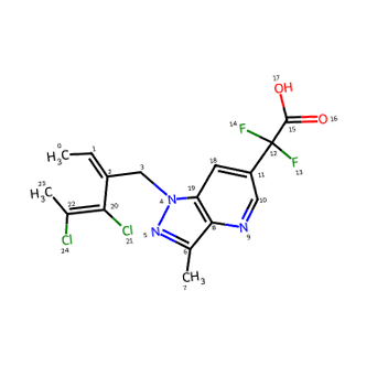 C/C=C(Cn1nc(C)c2ncc(C(F)(F)C(=O)O)cc21)\C(Cl)=C(/C)Cl